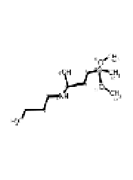 CCCCNC(O)CC[Si](C)(OC)OC